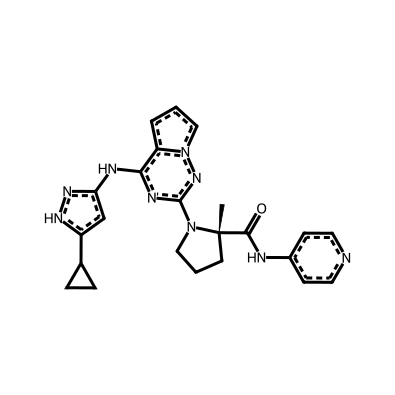 C[C@@]1(C(=O)Nc2ccncc2)CCCN1c1nc(Nc2cc(C3CC3)[nH]n2)c2cccn2n1